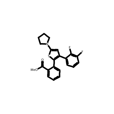 COC(=O)c1ccccc1-c1sc(N2CCCC2)cc1-c1cccc(F)c1F